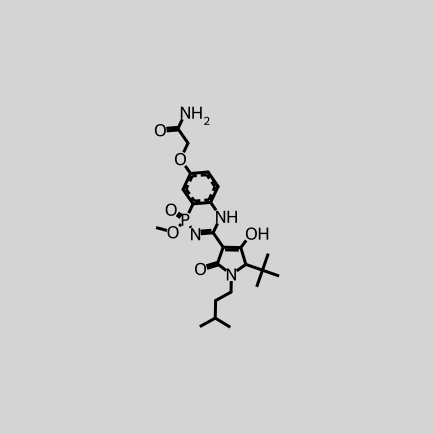 COP1(=O)N=C(C2=C(O)C(C(C)(C)C)N(CCC(C)C)C2=O)Nc2ccc(OCC(N)=O)cc21